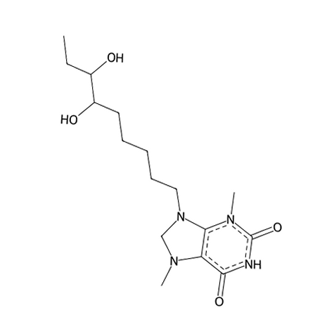 CCC(O)C(O)CCCCCN1CN(C)c2c1n(C)c(=O)[nH]c2=O